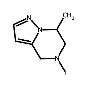 CC1CN(I)Cc2ccnn21